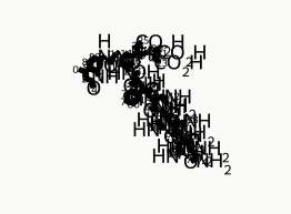 Cc1cc(=O)[nH]c2cc(NC(=O)CN(CCN(CCN(CC(=O)O)CC(=O)O)CC(=O)O)CC(=O)NC(O)C(=O)NC(C(=O)NC(NC(=N)N)C(=O)NC(NC(=N)N)C(=O)NC(NC(=N)N)C(=O)NC(NC(=N)N)C(=O)NC(N)C(N)=O)c3ccccc3)ccc12